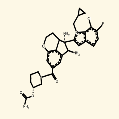 NC(=O)O[C@@H]1CCCN(C(=O)c2cc3c4c(c2)C(N)[C@](N)(c2cc5ccc(F)c(Cl)c5n2CC2CC2)C4CCO3)C1